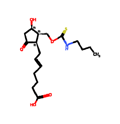 CCCCNC(=S)OC[C@H]1[C@H](O)CC(=O)[C@@H]1CC=CCCCC(=O)O